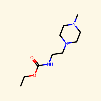 CCOC(=O)NCCN1CCN(C)CC1